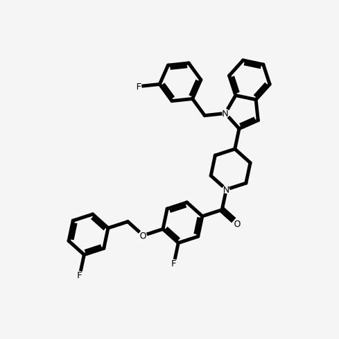 O=C(c1ccc(OCc2cccc(F)c2)c(F)c1)N1CCC(c2cc3ccccc3n2Cc2cccc(F)c2)CC1